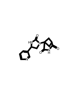 O=C1NC(=O)C2(N3CC(c4cccnc4)NC3=O)CC1C2